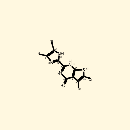 Cc1nc(-c2nc(=O)c3c(C)c(C)sc3[nH]2)[nH]c1C